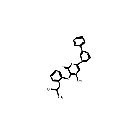 CC(C)Cc1ccccc1Sc1c(O)cc(-c2cccc(-c3ccccc3)c2)oc1=O